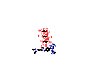 CCCN(CCC)CCCCN(CC(=O)O)Cc1ccc(CN(Cc2ncc[nH]2)Cc2nccn2C)cc1.O=C(O)C(O)C(O)C(=O)O.O=C(O)C(O)C(O)C(=O)O.O=C(O)C(O)C(O)C(=O)O